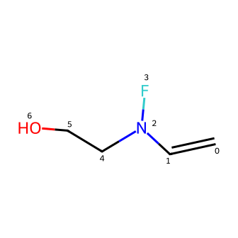 C=CN(F)CCO